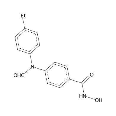 CCc1ccc(N(C=O)c2ccc(C(=O)NO)cc2)cc1